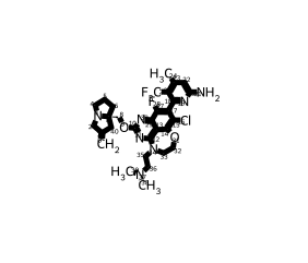 C=C1CN2CCC[C@@]2(COc2nc3c4c(c(Cl)c(-c5nc(N)cc(C)c5C(F)(F)F)c(F)c4n2)OCCN3CCN(C)C)C1